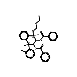 CCCCO[C@]1(C)c2ccccc2[C@@](C)(c2ccccc2C)C(OC(=O)c2ccccc2)C1OC(=O)c1ccccc1